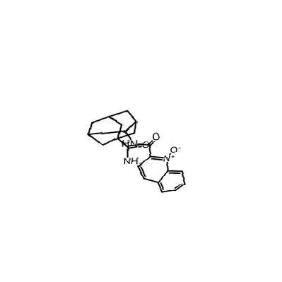 NC(=O)C12CC3CC(C1)C(NC(=O)c1ccc4ccccc4[n+]1[O-])C(C3)C2